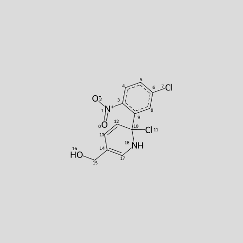 O=[N+]([O-])c1ccc(Cl)cc1C1(Cl)C=CC(CO)=CN1